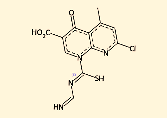 Cc1cc(Cl)nc2c1c(=O)c(C(=O)O)cn2/C(S)=N/C=N